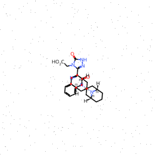 O=C(O)Cn1c(-c2nc3ccccc3n([C@H]3C[C@H]4CCC[C@@H](C3)N4[C@H]3C[C@@H]4CCC[C@@H](C4)C3)c2=O)n[nH]c1=O